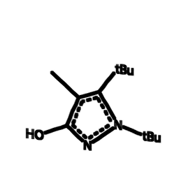 Cc1c(O)nn(C(C)(C)C)c1C(C)(C)C